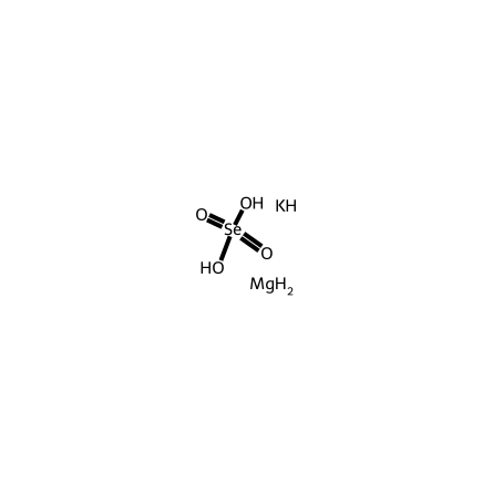 O=[Se](=O)(O)O.[KH].[MgH2]